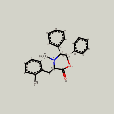 N#Cc1ccccc1C[C@@H]1C(=O)O[C@@H](c2ccccc2)[C@@H](c2ccccc2)N1C(=O)O